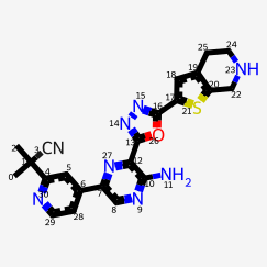 CC(C)(C#N)c1cc(-c2cnc(N)c(-c3nnc(-c4cc5c(s4)CNCC5)o3)n2)ccn1